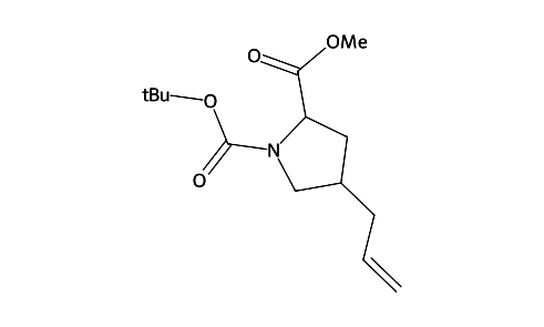 C=CCC1CC(C(=O)OC)N(C(=O)OC(C)(C)C)C1